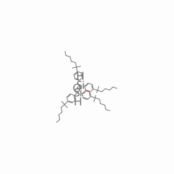 CCCCCC(C)(C)c1ccc([SiH](O[SiH](c2ccc(C(C)(C)CCCCC)cc2)c2ccc(C(C)(C)CCCCC)cc2)c2ccc(C(C)(C)CCCCC)cc2)cc1